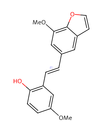 COc1ccc(O)c(/C=C/c2cc(OC)c3occc3c2)c1